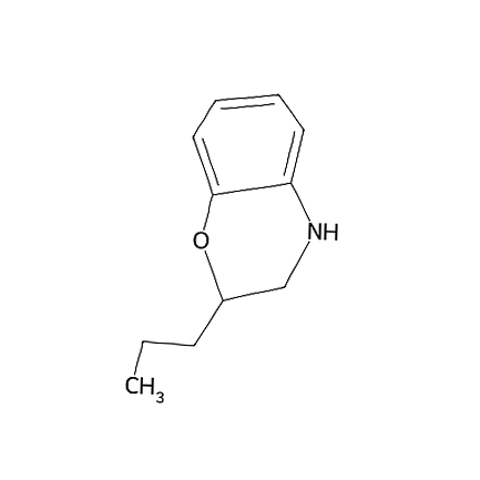 CCCC1CNc2ccccc2O1